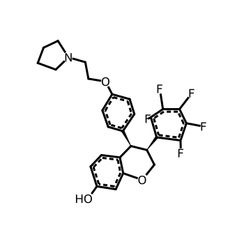 Oc1ccc2c(c1)OC[C@H](c1c(F)c(F)c(F)c(F)c1F)[C@@H]2c1ccc(OCCN2CCCC2)cc1